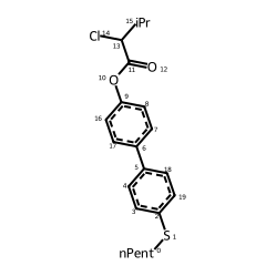 CCCCCSc1ccc(-c2ccc(OC(=O)C(Cl)C(C)C)cc2)cc1